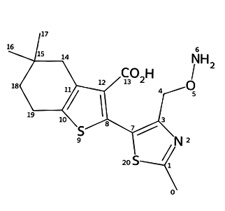 Cc1nc(CON)c(-c2sc3c(c2C(=O)O)CC(C)(C)CC3)s1